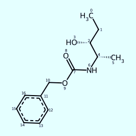 CC[C@@H](O)[C@H](C)NC(=O)OCc1ccccc1